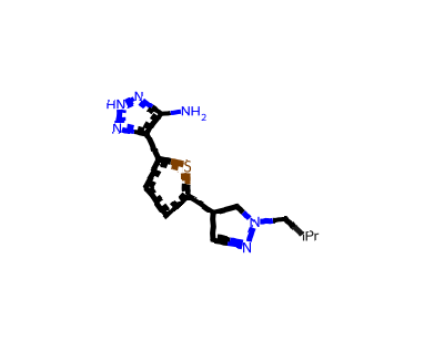 CC(C)CN1CC(c2ccc(-c3n[nH]nc3N)s2)C=N1